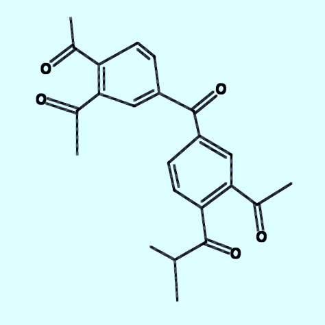 CC(=O)c1ccc(C(=O)c2ccc(C(=O)C(C)C)c(C(C)=O)c2)cc1C(C)=O